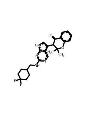 CC1(C)Oc2ccccc2C(=O)C1c1c[nH]c2nc(NCC3CCC(F)(F)CC3)ncc12